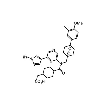 COc1ccc(C23CCC(CN(C(=O)C4CCC(CC(=O)O)CC4)c4cncc(-c5cnn(C(C)C)c5)n4)(CC2)CC3)cc1C